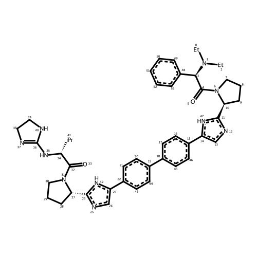 CCN(CC)[C@@H](C(=O)N1CCC[C@H]1c1ncc(-c2ccc(-c3ccc(-c4cnc([C@@H]5CCCN5C(=O)[C@H](NC5=NCCN5)C(C)C)[nH]4)cc3)cc2)[nH]1)c1ccccc1